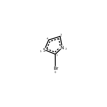 Brc1n[c]cs1